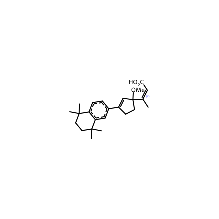 COC1(/C(C)=C\C(=O)O)C=C(c2ccc3c(c2)C(C)(C)CCC3(C)C)CC1